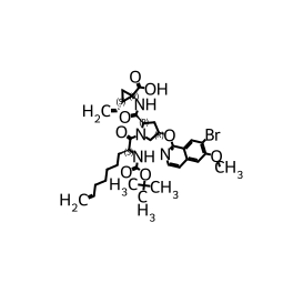 C=CCCCCC[C@H](NC(=O)OC(C)(C)C)C(=O)N1C[C@H](Oc2nccc3cc(OC)c(Br)cc23)C[C@@H]1C(=O)N[C@]1(C(=O)O)C[C@H]1C=C